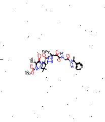 CCCC(NC(=O)[C@@H]1CC(C)(C)CN1C(=O)C(NC(=O)OC(C)(C)C)C(C)(C)C)C(=O)C(=O)NCC(=O)NC(C)c1ccccc1